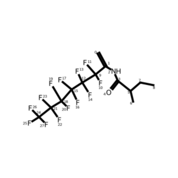 C=C(NC(=O)C(C)CC)C(F)(F)C(F)(F)C(F)(F)C(F)(F)C(F)(F)C(F)(F)F